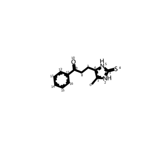 Cc1[nH]c(=S)[nH]c1CCC(=O)c1ccccc1